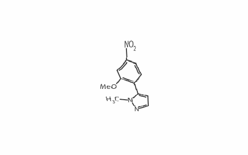 COc1cc([N+](=O)[O-])ccc1-c1ccnn1C